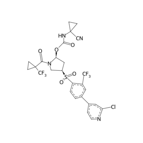 N#CC1(NC(=O)O[C@H]2C[C@@H](S(=O)(=O)c3ccc(-c4ccnc(Cl)c4)cc3C(F)(F)F)CN2C(=O)C2(C(F)(F)F)CC2)CC1